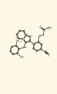 Cc1cccc(C)c1Nc1c(-c2ccc(C#N)cc2OCC(N)=O)nc2ccccn12